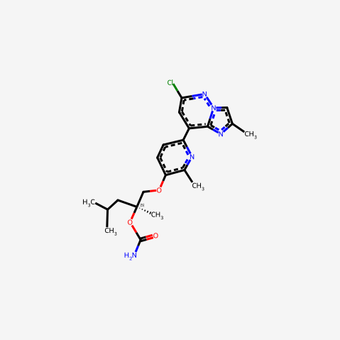 Cc1cn2nc(Cl)cc(-c3ccc(OC[C@](C)(CC(C)C)OC(N)=O)c(C)n3)c2n1